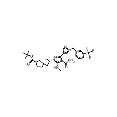 CNc1c(C(N)=O)c(-c2cnn(Cc3cccc(C(F)(F)F)c3)c2)nn1[C@H]1C[C@@]2(CCN(C(=O)OC(C)(C)C)C2)C1